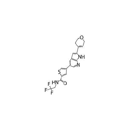 O=C(NCC(F)(F)F)c1cc(-c2cnc3[nH]c(C4=CCOCC4)cc3c2)cs1